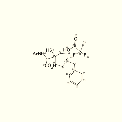 CC(=O)NC(C(=O)O)C1(S)CCN(Cc2ccccc2)CC1.O=C(O)C(F)(F)F